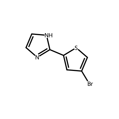 Brc1csc(-c2ncc[nH]2)c1